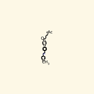 CC(=O)SCCCC(=O)N1CCN(c2ccc(/C=C/C3=CCN(C)C=C3)cc2)CC1